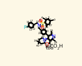 Cc1cc(C)c(S(=O)(=O)N(Cc2ccc(F)cc2)Cc2ccc(-c3c(C)nc(C)c(C(OC(C)(C)C)C(=O)O)c3N3CCC(C)(C)CC3)cc2)c(C)c1